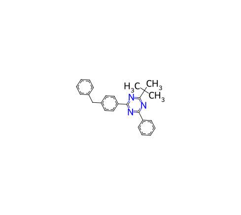 CC(C)(C)c1nc(-c2ccccc2)nc(-c2ccc(Cc3ccccc3)cc2)n1